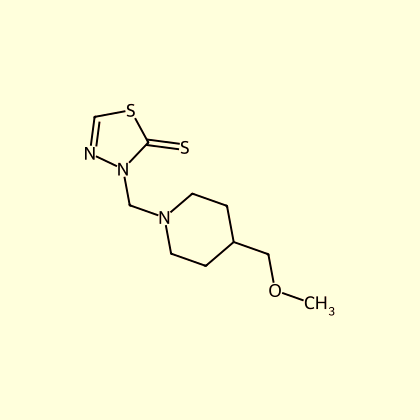 COCC1CCN(Cn2ncsc2=S)CC1